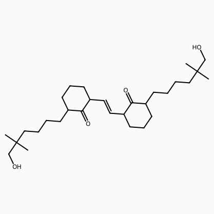 CC(C)(CO)CCCCC1CCCC(C=CC2CCCC(CCCCC(C)(C)CO)C2=O)C1=O